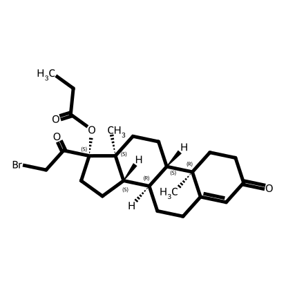 CCC(=O)O[C@@]1(C(=O)CBr)CC[C@H]2[C@@H]3CCC4=CC(=O)CC[C@]4(C)[C@H]3CC[C@@]21C